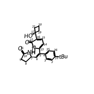 CC(C)(C)c1ccc(/C(=C/[C@H]2CCC(=O)N2)c2ccc(C3(O)CCC3)c(=O)[nH]2)cc1